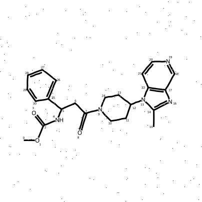 COC(=O)NC(CC(=O)N1CCC(n2c(C)nc3cnccc32)CC1)c1ccccc1